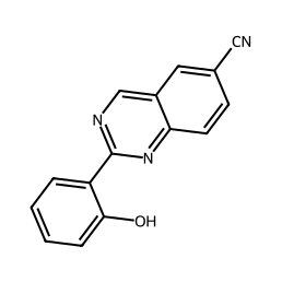 N#Cc1ccc2nc(-c3ccccc3O)ncc2c1